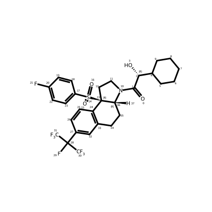 O=C([C@H](O)C1CCCCC1)N1CC[C@@]2(S(=O)(=O)c3ccc(F)cc3)c3ccc(C(F)(C(F)(F)F)C(F)(F)F)cc3CC[C@@H]12